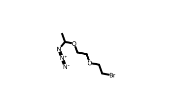 CC(N=[N+]=[N-])OCCOCCBr